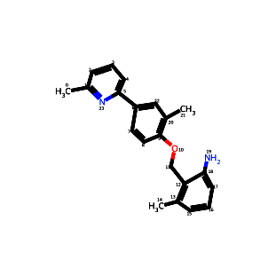 Cc1cccc(-c2ccc(OCc3c(C)cccc3N)c(C)c2)n1